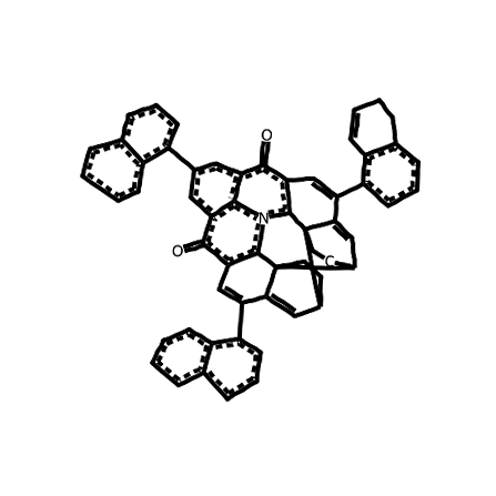 O=c1c2c3n4c5c(c(=O)c6cc(-c7cccc8ccccc78)cc1c64)C=C(c1cccc4ccccc14)C1=CC4CCC15C1C=C(C(c5cccc6c5C=CCC6)=C2)C34CC1